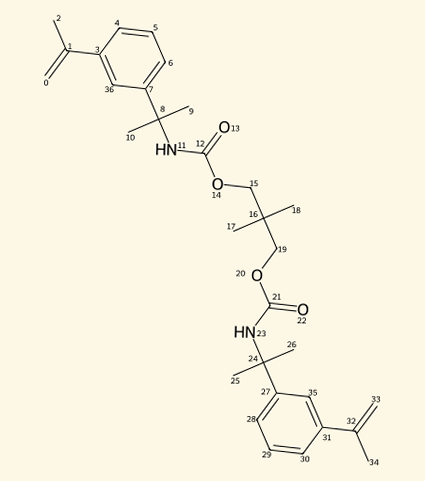 C=C(C)c1cccc(C(C)(C)NC(=O)OCC(C)(C)COC(=O)NC(C)(C)c2cccc(C(=C)C)c2)c1